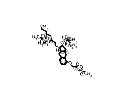 CCCCC[C@@H](CC[C@@H]1[C@H]2Cc3cccc(OCC(=O)NS(C)(=O)=O)c3C[C@H]2C[C@H]1O[Si](C)(C)C(C)(C)C)O[Si](C)(C)C(C)(C)C